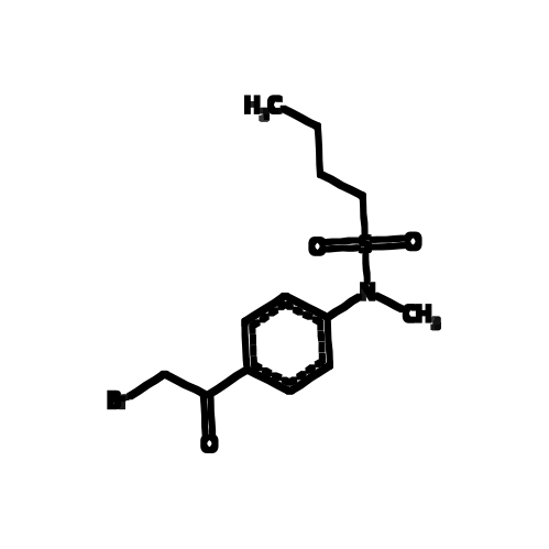 CCCCS(=O)(=O)N(C)c1ccc(C(=O)CBr)cc1